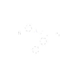 Cc1ccccc1-c1ccc(OCCN(C)C)c(C(=O)/C=C/c2cccc(CN(C)C)c2)c1